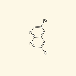 Clc1cnc2ncc(Br)cc2c1